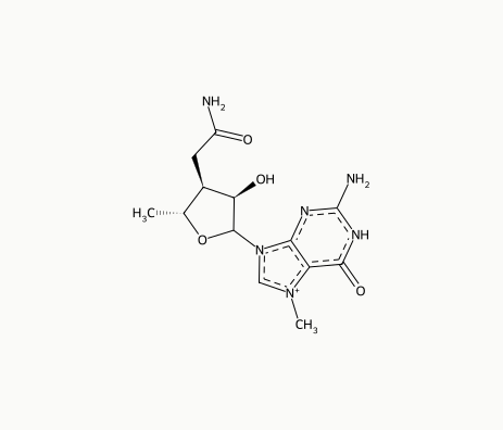 C[C@H]1OC(n2c[n+](C)c3c(=O)[nH]c(N)nc32)[C@H](O)[C@@H]1CC(N)=O